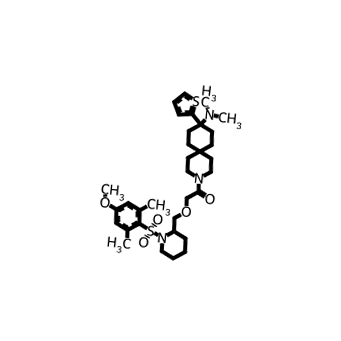 COc1cc(C)c(S(=O)(=O)N2CCCCC2COCC(=O)N2CCC3(CC2)CCC(c2cccs2)(N(C)C)CC3)c(C)c1